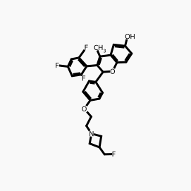 CC1=C(c2c(F)cc(F)cc2F)C(c2ccc(OCCN3CC(CF)C3)cc2)Oc2ccc(O)cc21